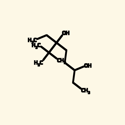 CCC(O)CCC(O)(CC)C(C)(C)C